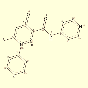 Cc1cc(=O)c(C(=O)Nc2ccncc2)nn1-c1ccccc1